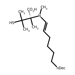 CCCCCCCCCCCCCCC=CN(C)[C@](C)(C(=O)O)C(C)(C)S